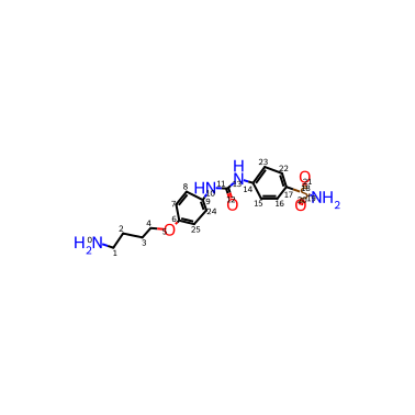 NCCCCOc1ccc(NC(=O)Nc2ccc(S(N)(=O)=O)cc2)cc1